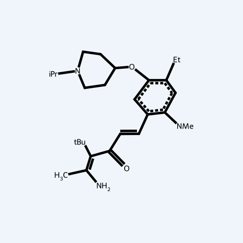 CCc1cc(NC)c(/C=C/C(=O)/C(=C(/C)N)C(C)(C)C)cc1OC1CCN(C(C)C)CC1